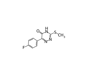 CSc1nnc(-c2ccc(F)cc2)c(=O)[nH]1